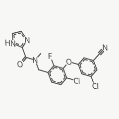 CN(Cc1ccc(Cl)c(Oc2cc(Cl)cc(C#N)c2)c1F)C(=O)c1ncc[nH]1